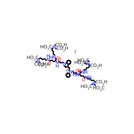 O=C(O)CN(CC(=O)O)C(CCCCNC(=O)CCC(NC(=O)CCN1C=CC(=Cc2sc3ccccc3[n+]2CCC(=O)NC(CCC(=O)NCCCCC(C(=O)O)N(CC(=O)O)CC(=O)O)C(=O)NCCCCC(C(=O)O)N(CC(=O)O)CC(=O)O)c2ccccc21)C(=O)NCCCCC(C(=O)O)N(CC(=O)O)CC(=O)O)C(=O)O.[I-]